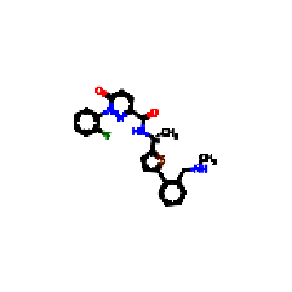 CNCc1ccccc1-c1ccc([C@@H](C)NC(=O)c2ccc(=O)n(-c3ccccc3F)n2)s1